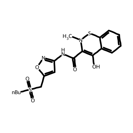 CCCCS(=O)(=O)Cc1cc(NC(=O)C2=C(O)c3ccccc3SN2C)no1